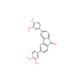 COc1ccc(-c2ccc3c(c2)-c2cc(-c4ccc(OC)c(OC)c4)ccc2C3=O)cc1OC